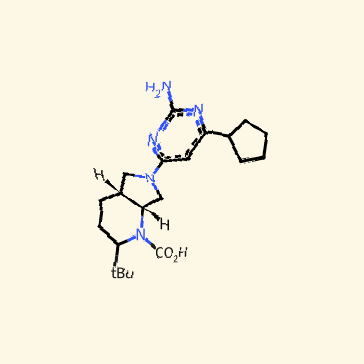 CC(C)(C)C1CC[C@@H]2CN(c3cc(C4CCCC4)nc(N)n3)C[C@@H]2N1C(=O)O